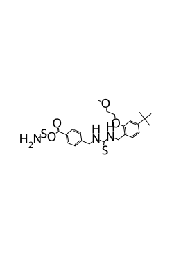 COCCOc1cc(C(C)(C)C)ccc1CNC(=S)NCc1ccc(C(=O)OSN)cc1